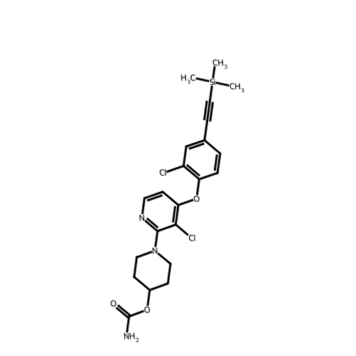 C[Si](C)(C)C#Cc1ccc(Oc2ccnc(N3CCC(OC(N)=O)CC3)c2Cl)c(Cl)c1